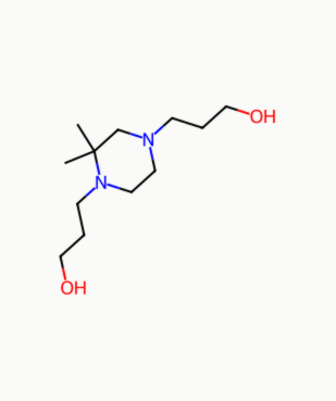 CC1(C)CN(CCCO)CCN1CCCO